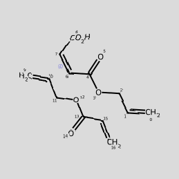 C=CCOC(=O)/C=C\C(=O)O.C=CCOC(=O)C=C